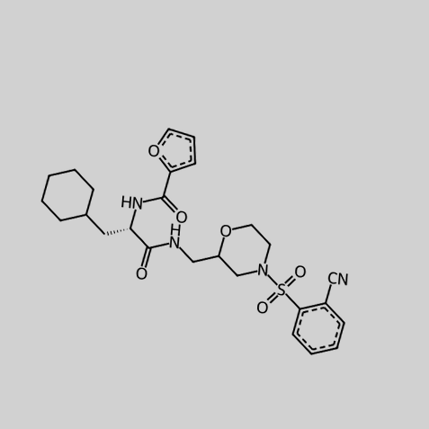 N#Cc1ccccc1S(=O)(=O)N1CCOC(CNC(=O)[C@H](CC2CCCCC2)NC(=O)c2ccco2)C1